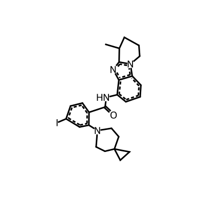 CC1CCCn2c1nc1c(NC(=O)c3ccc(I)cc3N3CCC4(CC3)CC4)cccc12